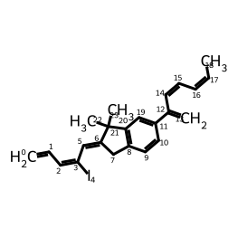 C=C/C=C(I)\C=C1/Cc2ccc(C(=C)/C=C\C=C/C)cc2C1(C)C